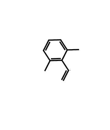 C=[C]c1c(C)cccc1C